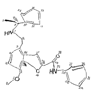 COc1ccc(CN[C@@H](C)c2ccccc2)c2cc(C(=O)Nc3ccccc3)oc12